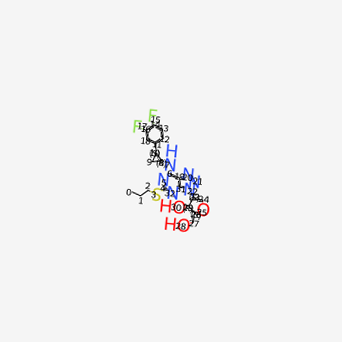 CCCSc1nc(N[C@@H]2C[C@H]2c2ccc(F)c(F)c2)c2nnn([C@H]3CO[C@@H](CO)[C@@H]3O)c2n1